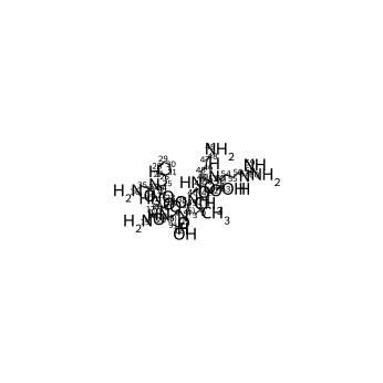 CC(C)C[C@H](NC(=O)[C@H](CC(=O)O)NC(=O)[C@H](CC(N)=O)NC(=O)[C@H](Cc1ccccc1)NC(=O)CN)C(=O)NCC(=O)N[C@@H](CCCCN)C(=O)N[C@@H](CCCNC(=N)N)C(=O)O